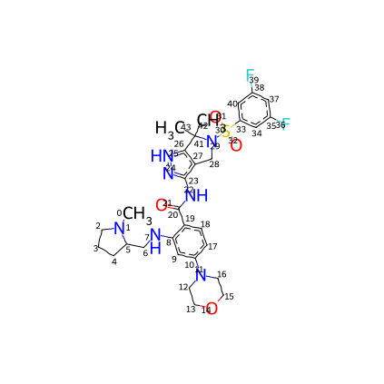 CN1CCCC1CNc1cc(N2CCOCC2)ccc1C(=O)Nc1n[nH]c2c1CN(S(=O)(=O)c1cc(F)cc(F)c1)C2(C)C